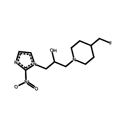 O=[N+]([O-])c1nccn1CC(O)CN1CCC(CF)CC1